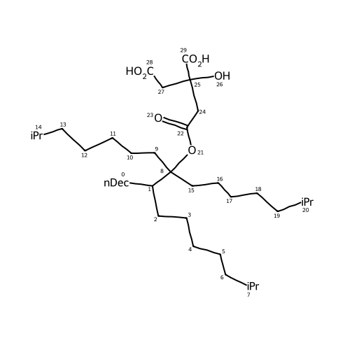 CCCCCCCCCCC(CCCCCC(C)C)C(CCCCCC(C)C)(CCCCCC(C)C)OC(=O)CC(O)(CC(=O)O)C(=O)O